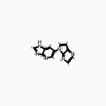 c1cnc2c(ccn2-c2cnc3nc[nH]c3c2)n1